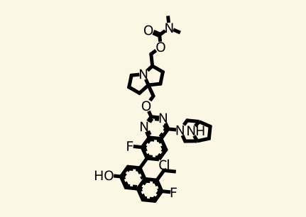 CCc1c(F)ccc2cc(O)cc(-c3c(Cl)cc4c(N5CC6CCC(C5)N6)nc(OCC56CCCN5C(COC(=O)N(C)C)CC6)nc4c3F)c12